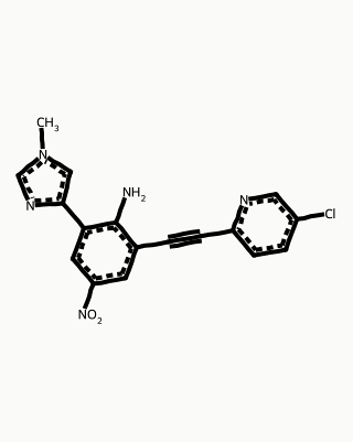 Cn1cnc(-c2cc([N+](=O)[O-])cc(C#Cc3ccc(Cl)cn3)c2N)c1